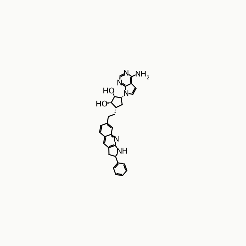 Nc1ncnc2c1ccn2[C@@H]1C[C@H](CCc2ccc3cc4c(nc3c2)NC(c2ccccc2)C4)[C@@H](O)[C@H]1O